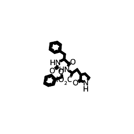 O=C(NC(Cc1ccccc1)C(=O)NC(CC1CCNC1=O)C(=O)O)OCc1ccccc1